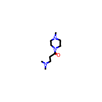 CN(C)CCC(=O)N1CCN(C)CC1